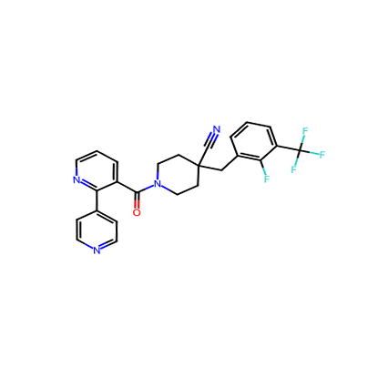 N#CC1(Cc2cccc(C(F)(F)F)c2F)CCN(C(=O)c2cccnc2-c2ccncc2)CC1